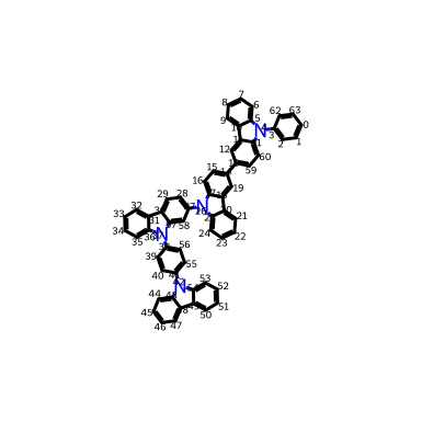 c1ccc(-n2c3ccccc3c3cc(-c4ccc5c(c4)c4ccccc4n5-c4ccc5c6ccccc6n(-c6ccc(-n7c8ccccc8c8ccccc87)cc6)c5c4)ccc32)cc1